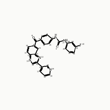 O=C(Nc1ccc(C(=O)c2ccc3ncc(-c4cccnc4)nc3c2)cc1)Nc1cccc(F)c1